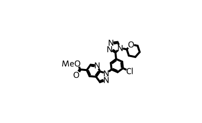 COC(=O)c1cnc2c(cnn2-c2cc(Cl)cc(-c3nncn3C3CCCCO3)c2)c1